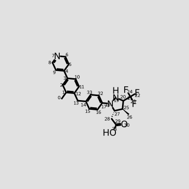 Cc1cc(-c2ccncc2)ccc1Cc1ccc(N2NC(C(F)(F)F)[C@@H](C)[C@@H]2CC(=O)O)cc1